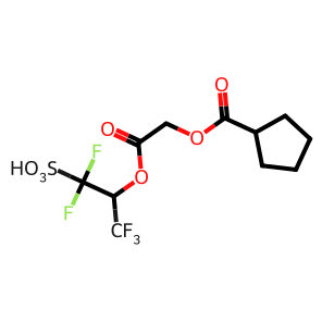 O=C(COC(=O)C1CCCC1)OC(C(F)(F)F)C(F)(F)S(=O)(=O)O